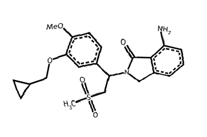 COc1ccc(C(CS(C)(=O)=O)N2Cc3cccc(N)c3C2=O)cc1OCC1CC1